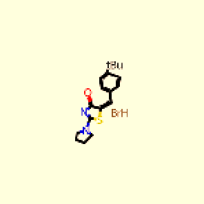 Br.CC(C)(C)c1ccc(C=C2SC(N3CCCC3)=NC2=O)cc1